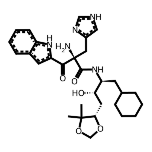 CC1(C)OCO[C@H]1C[C@H](O)[C@H](CC1CCCCC1)NC(=O)[C@@](N)(Cc1c[nH]cn1)C(=O)c1cc2ccccc2[nH]1